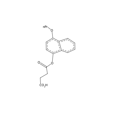 CCCOc1ccc(OC(=O)CCC(=O)O)c2ccccc12